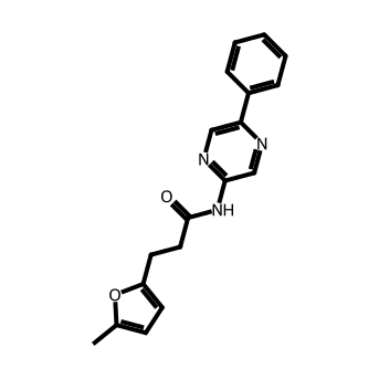 Cc1ccc(CCC(=O)Nc2cnc(-c3ccccc3)cn2)o1